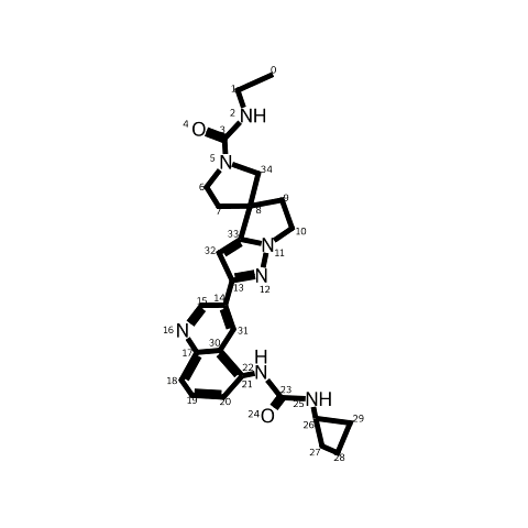 CCNC(=O)N1CCC2(CCn3nc(-c4cnc5cccc(NC(=O)NC6CCC6)c5c4)cc32)C1